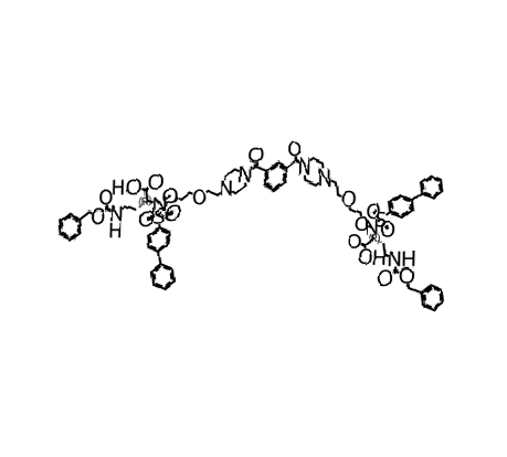 O=C(NCC[C@H](C(=O)O)N(OCCOCCN1CCN(C(=O)c2cccc(C(=O)N3CCN(CCOCCON([C@H](CCNC(=O)OCc4ccccc4)C(=O)O)S(=O)(=O)c4ccc(-c5ccccc5)cc4)CC3)c2)CC1)S(=O)(=O)c1ccc(-c2ccccc2)cc1)OCc1ccccc1